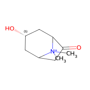 C[N+]1(C)C2CC(=O)C1C[C@@H](O)C2